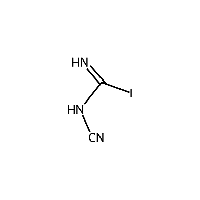 N#CNC(=N)I